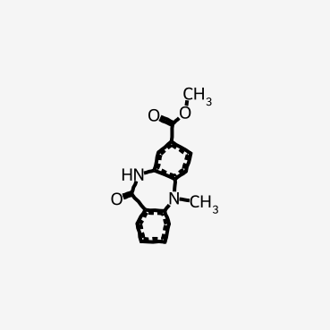 COC(=O)c1ccc2c(c1)NC(=O)c1ccccc1N2C